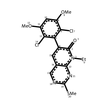 CCn1c(=O)c(-c2c(Cl)c(OC)cc(OC)c2Cl)cc2cnc(SC)nc21